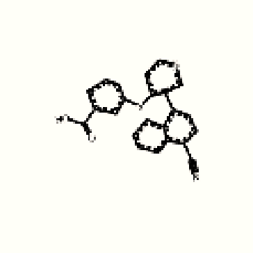 N#Cc1ccc(-c2cnccc2Sc2cccc(C(=O)O)c2)c2ccccc12